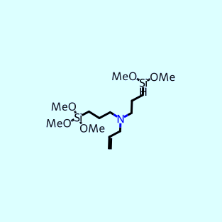 C=CCN(CCC[SiH](OC)OC)CCC[Si](OC)(OC)OC